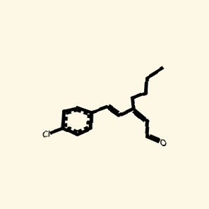 CCCCC(=C/C=O)/C=C/c1ccc(Cl)cc1